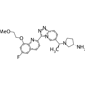 COCCOc1cc(F)cc2ccc(-c3nnc4ccc([C@H](C)N5CC[C@H](N)C5)cn34)nc12